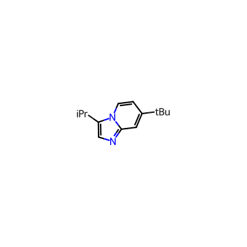 CC(C)c1cnc2cc(C(C)(C)C)ccn12